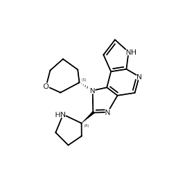 c1cc2c(ncc3nc([C@H]4CCCN4)n([C@H]4CCCOC4)c32)[nH]1